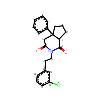 O=C1CC2(c3ccccc3)CCCC2C(=O)N1CCc1cccc(Cl)c1